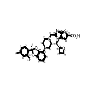 Cc1ccc([C@]2(C)Oc3cccc(N4CCN(Cc5nc6sc(C(=O)O)cc6n5C[C@@H]5CCO5)CC4)c3O2)c(F)c1